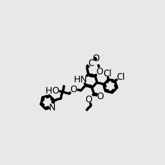 CCOC(=O)C1=C(COCC(C)(O)Cc2ccccn2)NC(C=C=O)=C(OC)C1c1cccc(Cl)c1Cl